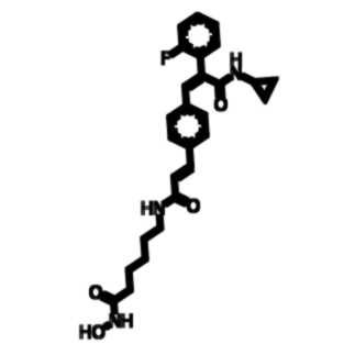 O=C(C=Cc1ccc(C=C(C(=O)NC2CC2)c2ccccc2F)cc1)NCCCCCC(=O)NO